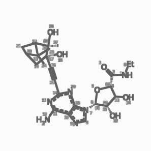 CCNC(=O)[C@H]1O[C@@H](n2cnc3c(N)nc(C#C[C@@]4(O)CC5CC(C5(C)C)[C@@]4(C)O)nc32)[C@@H](O)C1O